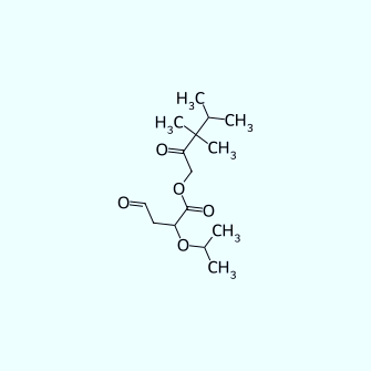 CC(C)OC(CC=O)C(=O)OCC(=O)C(C)(C)C(C)C